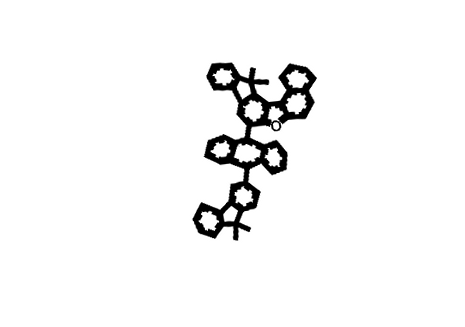 CC1(C)c2ccccc2-c2cc(-c3c4ccccc4c(-c4cc5c(c6c4oc4ccc7ccccc7c46)C(C)(C)c4ccccc4-5)c4ccccc34)ccc21